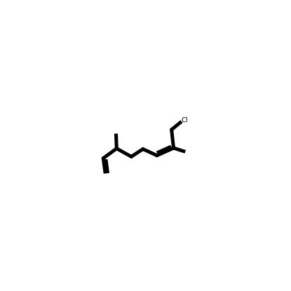 C=CC(C)CCC=C(C)CCl